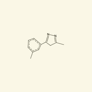 CC1=NN=C(c2cccc(C)c2)C1